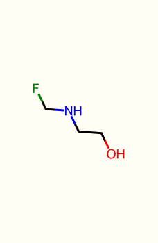 OCCNCF